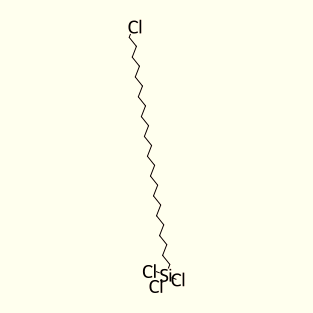 ClCCCCCCCCCCCCCCCCCCCCCCCC[Si](Cl)(Cl)Cl